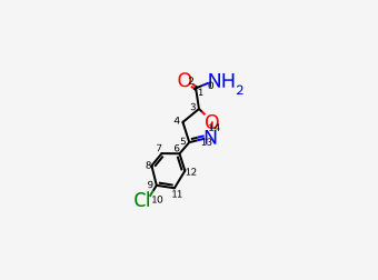 NC(=O)C1CC(c2ccc(Cl)cc2)=NO1